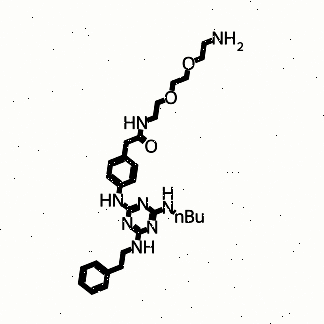 CCCCNc1nc(NCCc2ccccc2)nc(Nc2ccc(CC(=O)NCCOCCOCCN)cc2)n1